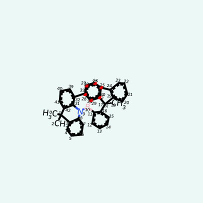 CC1(C)c2ccccc2N(B2c3ccccc3[C@@]3(C)c4ccccc4-c4cccc2c43)c2c(-c3ccccc3)cccc21